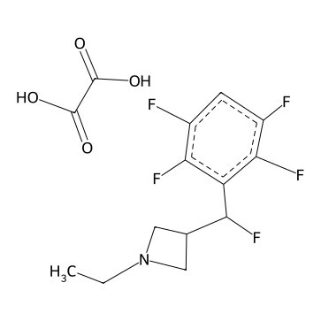 CCN1CC(C(F)c2c(F)c(F)cc(F)c2F)C1.O=C(O)C(=O)O